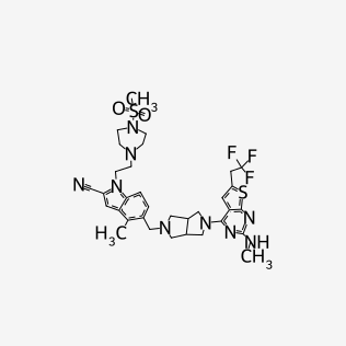 CNc1nc(N2CC3CN(Cc4ccc5c(cc(C#N)n5CCN5CCN(S(C)(=O)=O)CC5)c4C)CC3C2)c2cc(CC(F)(F)F)sc2n1